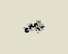 CN[C@@H](C)C(=O)N[C@H](C(=O)N1C[C@@H](O)C[C@H]1Cc1c[nH]cc1C(=O)N1CC2CCC1C(=O)O2)[C@@H](C)OC